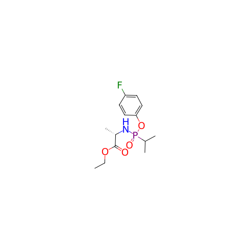 CCOC(=O)[C@H](C)NP(=O)(Oc1ccc(F)cc1)C(C)C